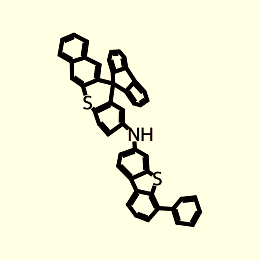 c1ccc(-c2cccc3c2sc2cc(Nc4ccc5c(c4)C4(c6cc7ccccc7cc6S5)c5ccccc5-c5ccccc54)ccc23)cc1